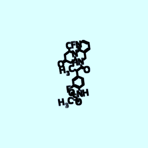 CC(C(=O)NCc1cccnc1N1CCC(=O)CC1C(F)(F)F)c1ccc(NS(C)(=O)=O)c(F)c1